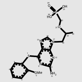 COc1ccccc1Sc1nc(N)nc2c1ncn2CC(C)OCP(=O)(O)O